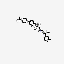 C=N/C(=N\C=C(/C)CC(=O)Nc1ccc(N2CCN(C(C)=O)CC2)cn1)c1ccnc(C)c1